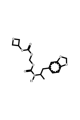 CCN(C(=O)OCOC(=O)OC1COC1)C(C)Cc1ccc2c(c1)OCO2